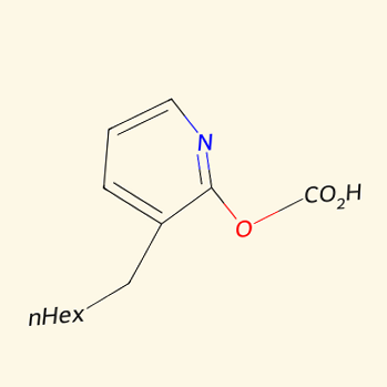 CCCCCCCc1cccnc1OC(=O)O